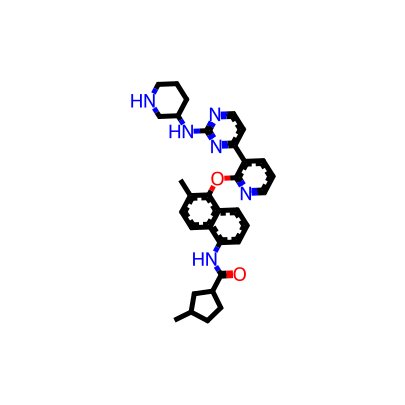 Cc1ccc2c(NC(=O)C3CCC(C)C3)cccc2c1Oc1ncccc1-c1ccnc(NC2CCCNC2)n1